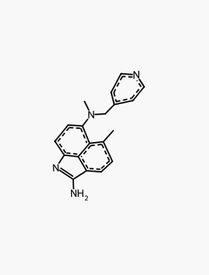 Cc1ccc2c3c(ccc(N(C)Cc4ccncc4)c13)N=C2N